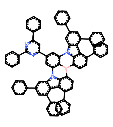 c1ccc(-c2cc(-c3ccccc3)c3c4c(-c5ccccc5)ccc5c4n(c3c2)-c2cc(-c3cc(-c4ccccc4)nc(-c4ccccc4)n3)cc3c2B5c2ccc(-c4ccccc4)c4c5c(-c6ccccc6)cc(-c6ccccc6)cc5n-3c24)cc1